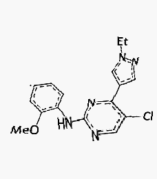 CCn1cc(-c2nc(Nc3cc[c]cc3OC)ncc2Cl)cn1